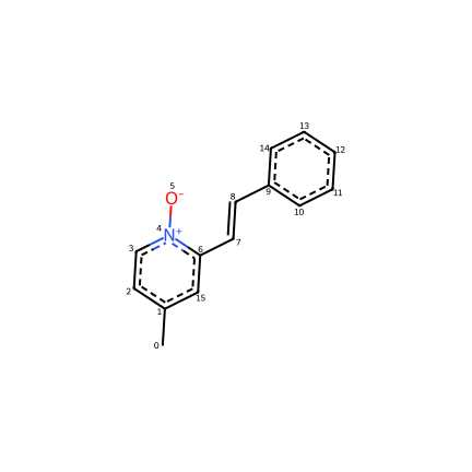 Cc1cc[n+]([O-])c(/C=C/c2ccccc2)c1